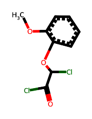 COc1ccccc1OC(Cl)C(=O)Cl